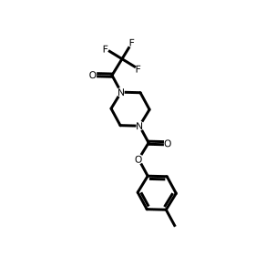 Cc1ccc(OC(=O)N2CCN(C(=O)C(F)(F)F)CC2)cc1